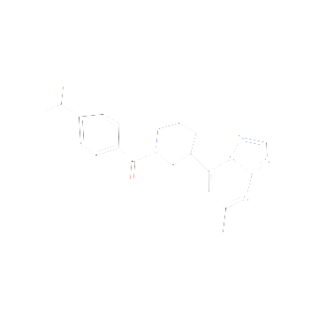 Cc1cc(C2CCCN(C(=O)c3ccc(C(F)F)cc3)C2)n2ncnc2n1